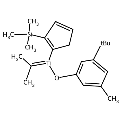 C[C](C)=[Ti]([O]c1cc(C)cc(C(C)(C)C)c1)[C]1=C([Si](C)(C)C)C=CC1